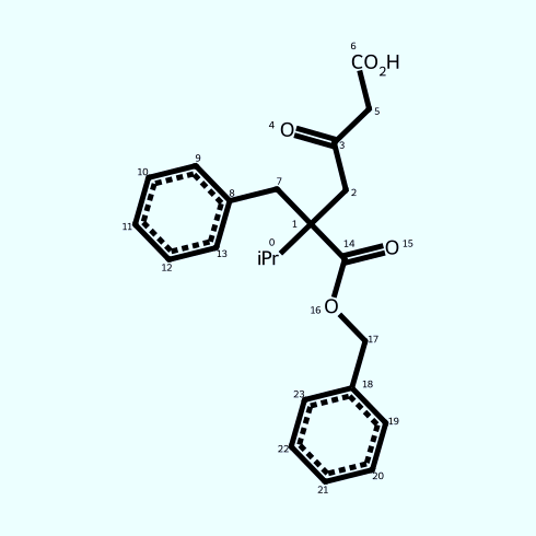 CC(C)C(CC(=O)CC(=O)O)(Cc1ccccc1)C(=O)OCc1ccccc1